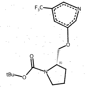 CC(C)(C)OC(=O)N1CCC[C@H]1COc1cncc(C(F)(F)F)c1